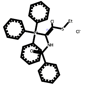 CCS/C(Cl)=C(\NC(=O)c1ccccc1)[P+](c1ccccc1)(c1ccccc1)c1ccccc1.[Cl-]